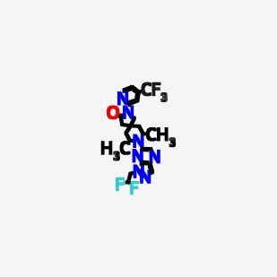 CC1CC2(CC(=O)N(c3cc(C(F)(F)F)ccn3)C2)CC(C)N1c1cnc2cnn(CC(F)F)c2n1